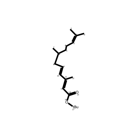 CC(C)=CCCC(C)C/C=C/C(C)=C/C(=O)OC(C)(C)C